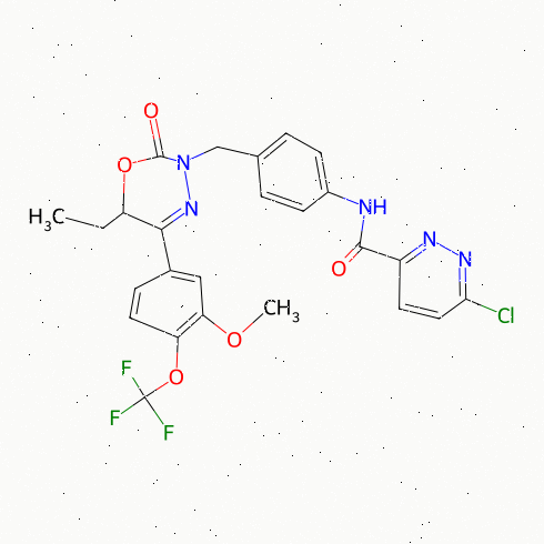 CCC1OC(=O)N(Cc2ccc(NC(=O)c3ccc(Cl)nn3)cc2)N=C1c1ccc(OC(F)(F)F)c(OC)c1